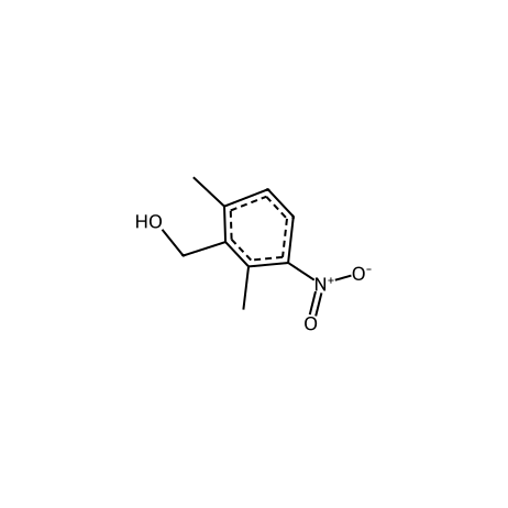 Cc1ccc([N+](=O)[O-])c(C)c1CO